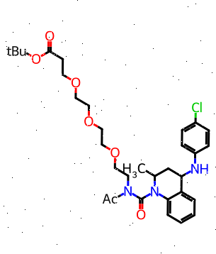 CC(=O)N(CCOCCOCCOCCC(=O)OC(C)(C)C)C(=O)N1c2ccccc2C(Nc2ccc(Cl)cc2)CC1C